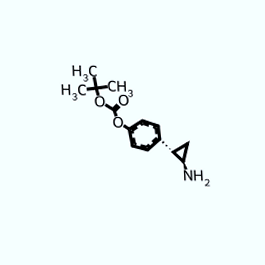 CC(C)(C)OC(=O)Oc1ccc([C@@H]2C[C@H]2N)cc1